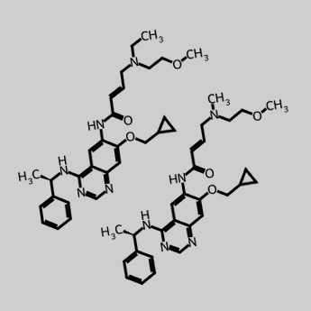 CCN(CC=CC(=O)Nc1cc2c(N[C@H](C)c3ccccc3)ncnc2cc1OCC1CC1)CCOC.COCCN(C)CC=CC(=O)Nc1cc2c(N[C@H](C)c3ccccc3)ncnc2cc1OCC1CC1